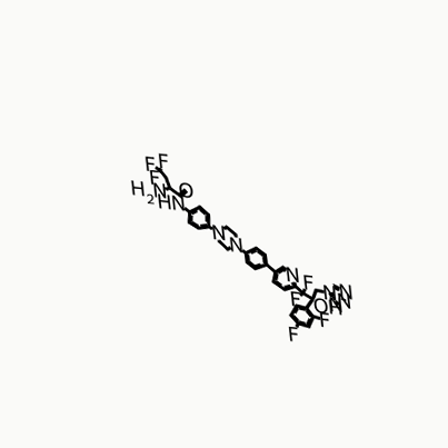 NC(CC(F)(F)F)C(=O)Nc1ccc(N2CCN(c3ccc(-c4ccc(C(F)(F)C(O)(Cn5cnnn5)c5ccc(F)cc5F)nc4)cc3)CC2)cc1